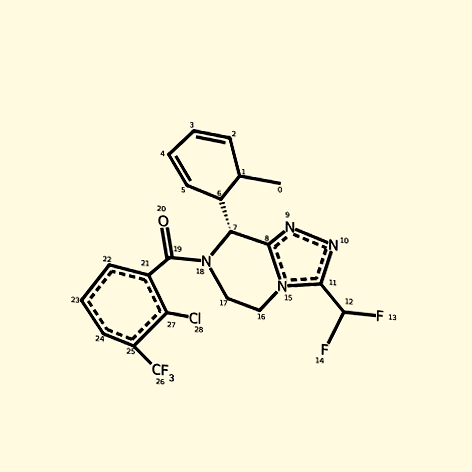 CC1C=CC=CC1[C@@H]1c2nnc(C(F)F)n2CCN1C(=O)c1cccc(C(F)(F)F)c1Cl